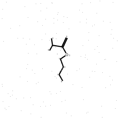 C=C(OCCCC)C(C)C